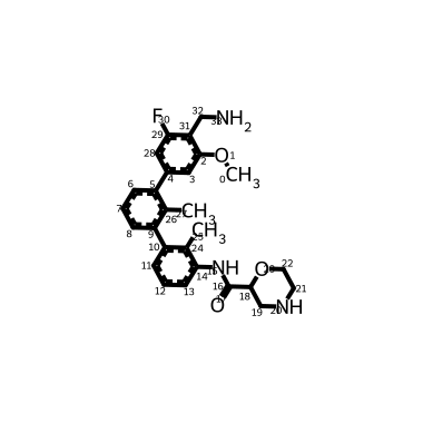 COc1cc(-c2cccc(-c3cccc(NC(=O)C4CNCCO4)c3C)c2C)cc(F)c1CN